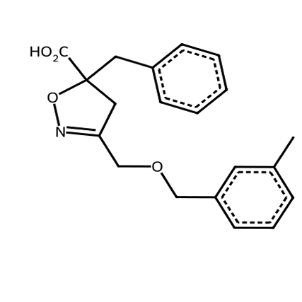 Cc1cccc(COCC2=NOC(Cc3ccccc3)(C(=O)O)C2)c1